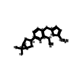 O=C(O)c1ccc(Cc2ccc(N3CC4C(C3)C4(F)F)nc2CO)s1